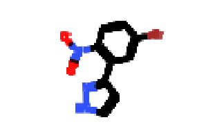 O=[N+]([O-])c1ccc(Br)cc1-c1cc[nH]n1